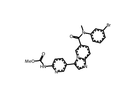 COC(=O)Nc1ccc(-c2cnc3ccc(C(=O)N(C)c4cccc(Br)c4)cn23)cn1